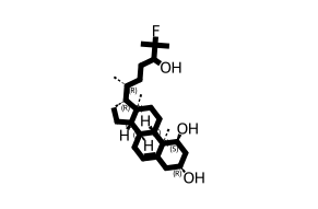 C[C@H](CCC(O)C(C)(C)F)[C@H]1CC[C@H]2[C@@H]3CC=C4C[C@@H](O)C[C@H](O)[C@]4(C)[C@H]3CC[C@]12C